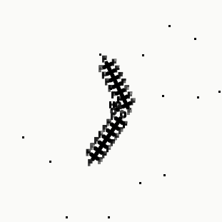 O=P(O)(OC(F)(F)C(F)(F)C(F)(F)C(F)(F)C(F)(F)C(F)(F)C(F)(F)F)C(F)(F)C(F)(F)C(F)(F)C(F)(F)C(F)(F)C(F)(F)C(F)(F)F